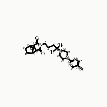 [2H]C([2H])(CCCN1C(=O)C2C3CCC(C3)C2C1=O)N1CCN(c2ncc(Br)cn2)CC1